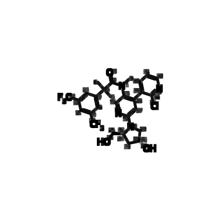 CN(C(=O)C(C)(C)c1cc(C(F)(F)F)cc(C(F)(F)F)c1)c1cnc(N2C[C@H](O)C[C@H]2CO)cc1-c1cccnc1Cl